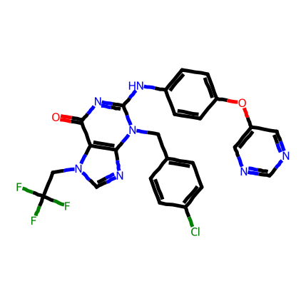 O=c1nc(Nc2ccc(Oc3cncnc3)cc2)n(Cc2ccc(Cl)cc2)c2ncn(CC(F)(F)F)c12